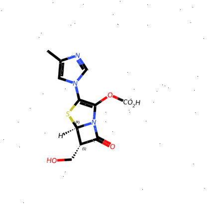 Cc1cn(C2=C(OC(=O)O)N3C(=O)[C@H](CO)[C@H]3S2)cn1